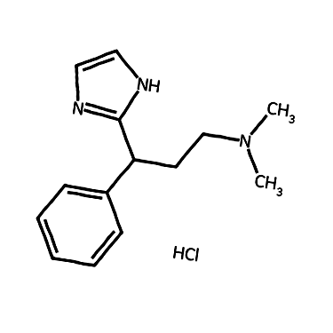 CN(C)CCC(c1ccccc1)c1ncc[nH]1.Cl